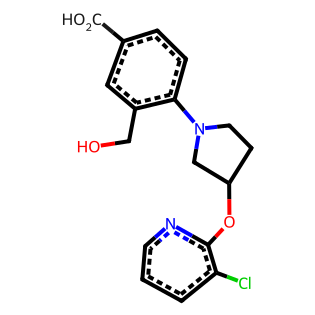 O=C(O)c1ccc(N2CCC(Oc3ncccc3Cl)C2)c(CO)c1